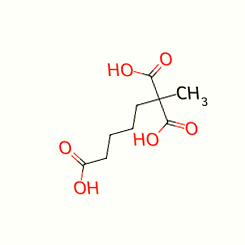 CC(CCCCC(=O)O)(C(=O)O)C(=O)O